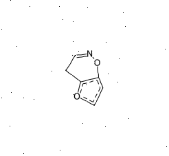 [C]1=NOc2ccoc2C1